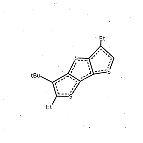 CCc1sc2c(sc3c(CC)csc32)c1C(C)(C)C